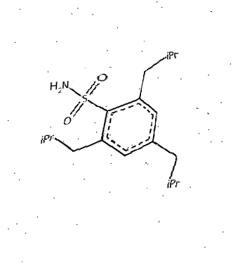 CC(C)Cc1cc(CC(C)C)c(S(N)(=O)=O)c(CC(C)C)c1